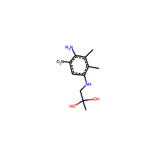 Cc1c(NCC(C)(O)O)cc([N+](=O)[O-])c(N)c1C